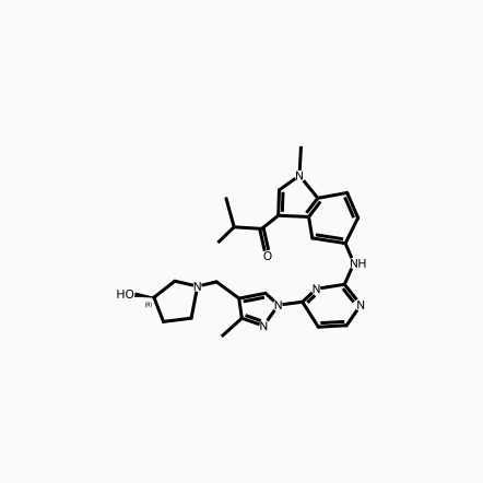 Cc1nn(-c2ccnc(Nc3ccc4c(c3)c(C(=O)C(C)C)cn4C)n2)cc1CN1CC[C@@H](O)C1